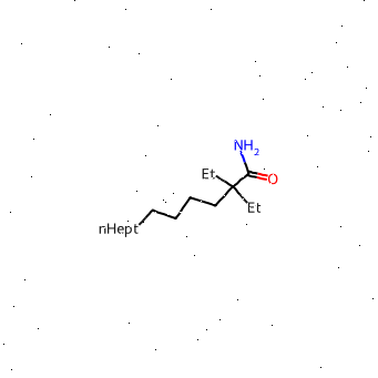 CCCCCCCCCCCC(CC)(CC)C(N)=O